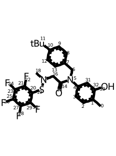 Cc1ccc(N(Cc2ccc(C(C)(C)C)cc2)C(=O)CN(C)Sc2c(F)c(F)c(F)c(F)c2F)cc1O